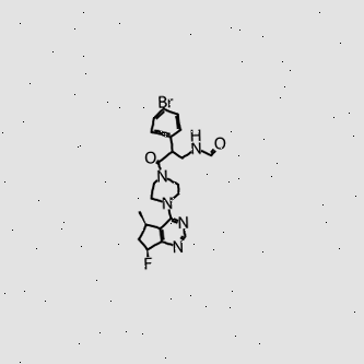 C[C@@H]1C[C@H](F)c2ncnc(N3CCN(C(=O)C(CNC=O)c4ccc(Br)cc4)CC3)c21